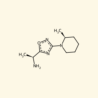 C[C@H](N)c1nc(N2CCCC[C@@H]2C)no1